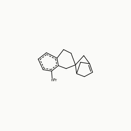 CCCc1cccc2c1CC1(CC2)CC2=CCC1C2